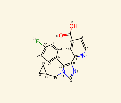 O=C(O)c1ccnc(-c2ncn(CC3CC3)c2-c2ccc(F)cc2)c1